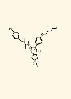 C[C@@H]1CCN(C[C@@H](NC(=O)NCc2ccc(Cl)cc2)[C@H](O)c2ccc(OCCCCF)cc2)C1